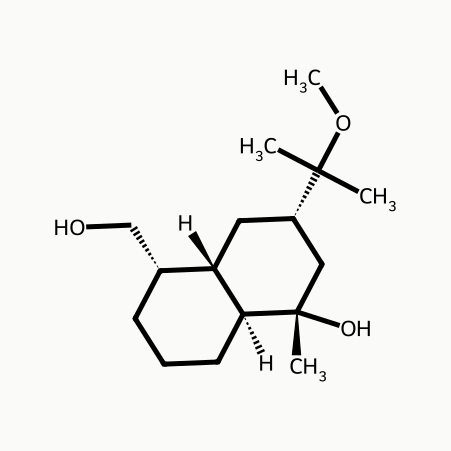 COC(C)(C)[C@H]1C[C@H]2[C@@H](CO)CCC[C@@H]2[C@@](C)(O)C1